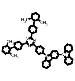 Cc1cccc(C)c1-c1ccc(-c2nc(-c3ccc(-c4c(C)cccc4C)cc3)nc(-c3ccc(-n4c5ccccc5c5cc(-n6c7ccccc7c7ccccc76)ccc54)cc3)n2)cc1